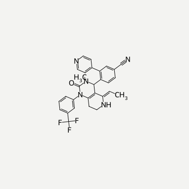 CC=C1NCCC2=C1C(c1ccc(C#N)cc1-c1ccncc1)N(C)C(=O)N2c1cccc(C(F)(F)F)c1